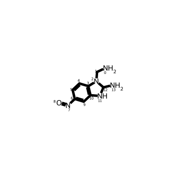 NCN1c2ccc(N=O)cc2NC1N